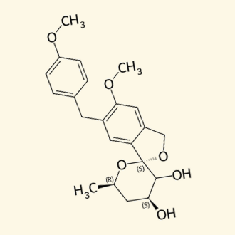 COc1ccc(Cc2cc3c(cc2OC)CO[C@]32O[C@H](C)C[C@H](O)C2O)cc1